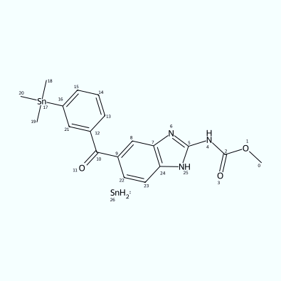 COC(=O)Nc1nc2cc(C(=O)c3ccc[c]([Sn]([CH3])([CH3])[CH3])c3)ccc2[nH]1.[SnH2]